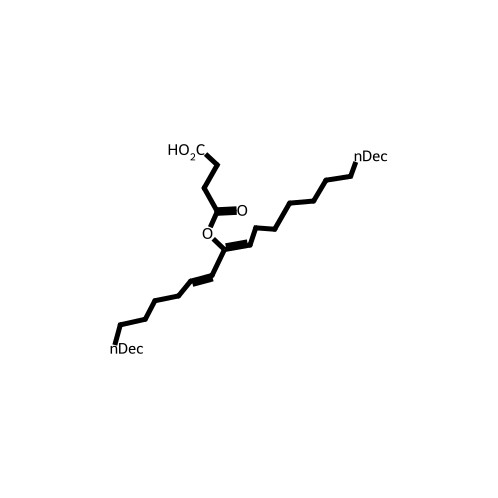 CCCCCCCCCCCCCCC=CC(=CCCCCCCCCCCCCCCCC)OC(=O)CCC(=O)O